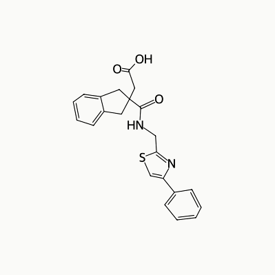 O=C(O)CC1(C(=O)NCc2nc(-c3ccccc3)cs2)Cc2ccccc2C1